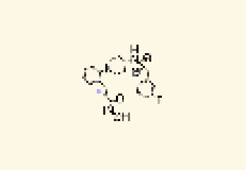 O=C(/C=C/c1ccccc1N1CCC(NS(=O)(=O)Cc2cccc(F)c2)CC1)NO